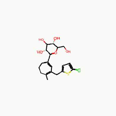 CC1=C(Cc2ccc(Cl)s2)C=C(C2OC(CO)[C@@H](O)C(O)[C@H]2O)CCC1